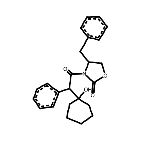 O=C1OCC(Cc2ccccc2)N1C(=O)C(c1ccccc1)C1(O)CCCCC1